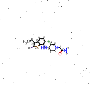 CN(C)C(=O)CN1CC[C@@H](Nc2cccc3c(CC(F)(F)F)c(I)sc23)[C@@H](F)C1